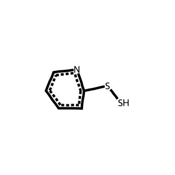 SSc1ccccn1